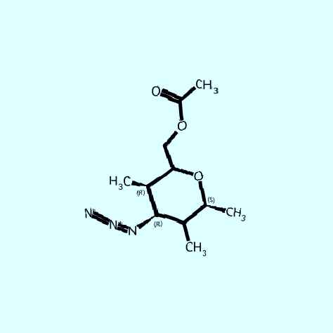 CC(=O)OCC1O[C@@H](C)C(C)[C@@H](N=[N+]=[N-])[C@H]1C